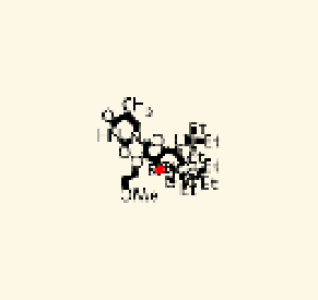 CCOP(=O)(OCC)[C@@H](O[Si](CC)(CC)CC)[C@H](O[Si](CC)(CC)CC)[C@H]1O[C@@H](n2cc(C)c(=O)[nH]c2=O)[C@H](OCCOC)[C@@H]1O